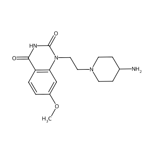 COc1ccc2c(=O)[nH]c(=O)n(CCN3CCC(N)CC3)c2c1